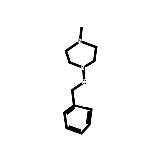 CN1CCN(OCc2ccccc2)CC1